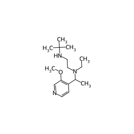 CCN(CCNC(C)(C)C)C(C)c1ccncc1OC